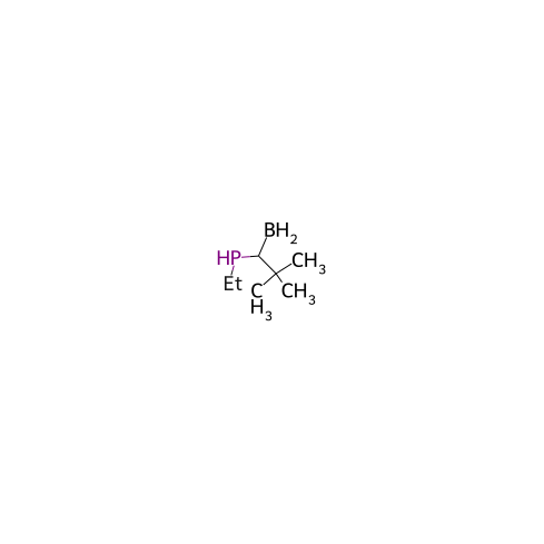 BC(PCC)C(C)(C)C